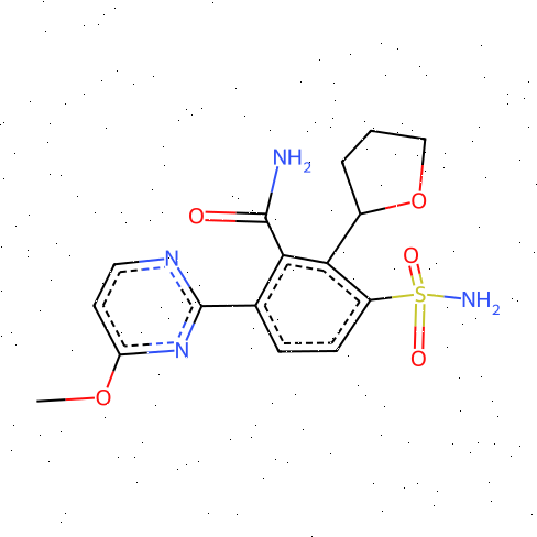 COc1ccnc(-c2ccc(S(N)(=O)=O)c(C3CCCO3)c2C(N)=O)n1